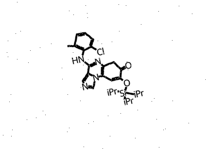 Cc1cccc(Cl)c1Nc1nc2c(n3cncc13)C=C(O[Si](C(C)C)(C(C)C)C(C)C)C(=O)C2